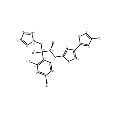 Cc1csc(-c2nsc(S[C@H](C)C(O)(Cn3cncn3)c3ccc(F)cc3F)n2)c1